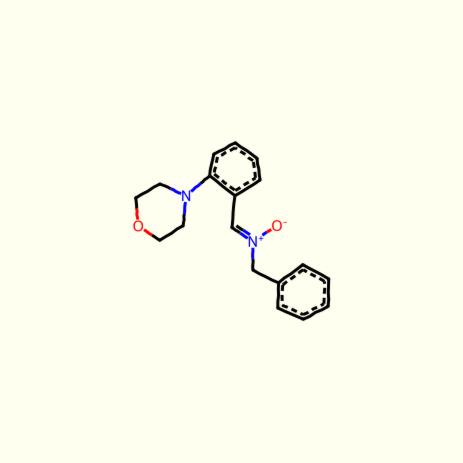 [O-]/[N+](=C\c1ccccc1N1CCOCC1)Cc1ccccc1